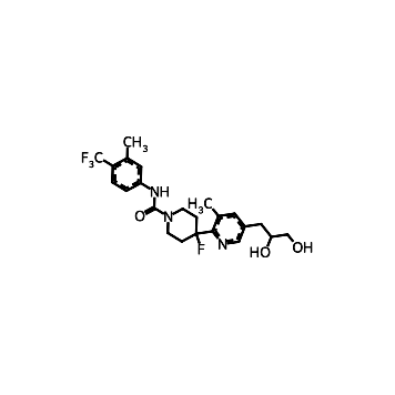 Cc1cc(NC(=O)N2CCC(F)(c3ncc(CC(O)CO)cc3C)CC2)ccc1C(F)(F)F